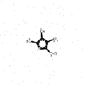 N#Cc1sc(C=O)c(C(F)(F)F)c1C#N